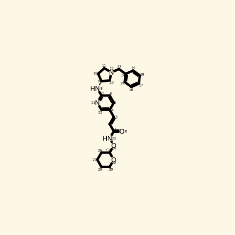 O=C(/C=C/c1ccc(N[C@@H]2CCN(Cc3ccccc3)C2)nc1)NOC1CCCCO1